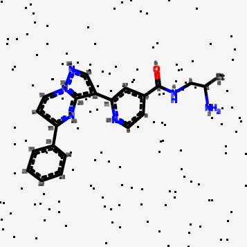 CCC(N)CNC(=O)c1ccnc(-c2cnn3ccc(-c4ccccc4)nc23)c1